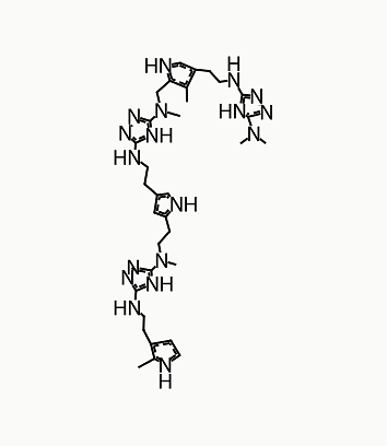 Cc1[nH]ccc1CCNc1nnc(N(C)CCc2cc(CCNc3nnc(N(C)Cc4[nH]cc(CCNc5nnc(N(C)C)[nH]5)c4C)[nH]3)c[nH]2)[nH]1